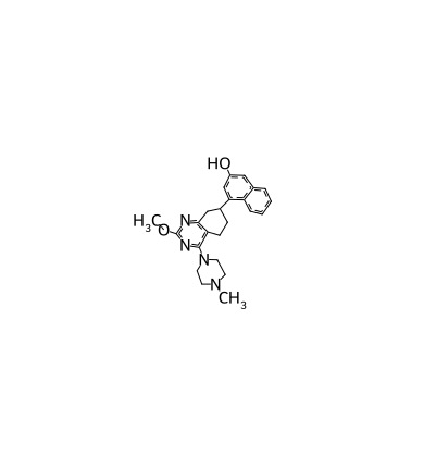 COc1nc2c(c(N3CCN(C)CC3)n1)CCC(c1cc(O)cc3ccccc13)C2